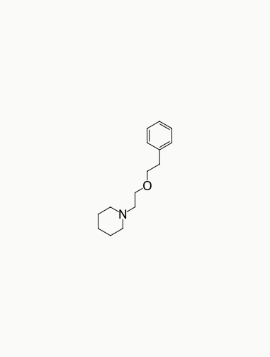 c1ccc(CCOCCN2CCCCC2)cc1